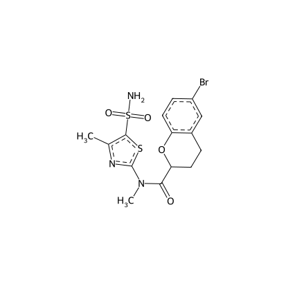 Cc1nc(N(C)C(=O)C2CCc3cc(Br)ccc3O2)sc1S(N)(=O)=O